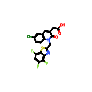 O=C(O)Cc1cc2cc(Cl)ccc2n(Cc2nc3c(F)c(F)cc(F)c3s2)c1=O